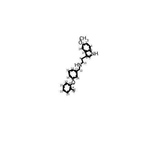 COc1ccc2[nH]cc(CCNCc3cccc(Oc4ccccc4F)c3)c2c1